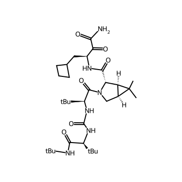 CC(C)(C)NC(=O)[C@@H](NC(=O)N[C@H](C(=O)N1C[C@H]2[C@@H]([C@H]1C(=O)N[C@@H](CC1CCC1)C(=O)C(N)=O)C2(C)C)C(C)(C)C)C(C)(C)C